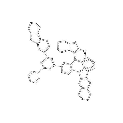 c1ccc(-c2nc(-c3ccc(-n4c5ccccc5c5cc6ccccc6cc54)c(-c4c5ccccc5cc5sc6ccccc6c45)c3)nc(-c3ccc4c(c3)oc3ccccc34)n2)cc1